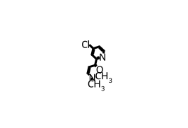 CN(C)/C=C\C(=O)c1cc(Cl)ccn1